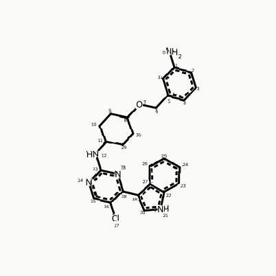 Nc1cccc(COC2CCC(Nc3ncc(Cl)c(-c4c[nH]c5ccccc45)n3)CC2)c1